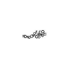 O=C(N[C@@H]1CCc2ccc(C(=O)N3CCC4(CC3)CCN(c3ccncc3)C4)cc21)c1c(Cl)cccc1C(F)(F)F